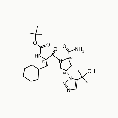 CC(C)(C)OC(=O)N[C@H](CC1CCCCC1)C(=O)N1C[C@@H](n2nncc2C(C)(C)O)C[C@H]1C(N)=O